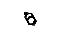 C1#[N+]CC2CNCC1C2